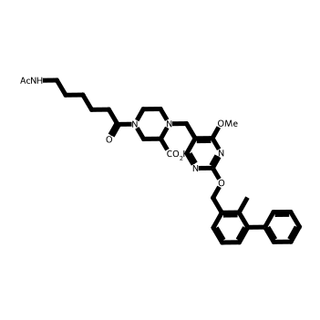 COc1nc(OCc2cccc(-c3ccccc3)c2C)ncc1CN1CCN(C(=O)CCCCCNC(C)=O)CC1C(=O)O